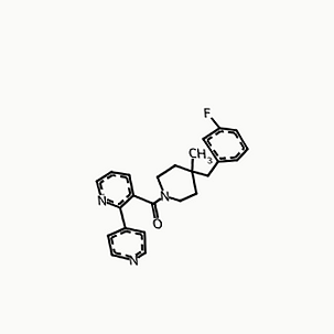 CC1(Cc2cccc(F)c2)CCN(C(=O)c2cccnc2-c2ccncc2)CC1